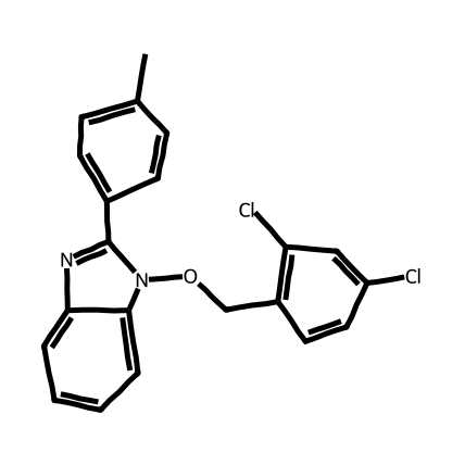 Cc1ccc(-c2nc3ccccc3n2OCc2ccc(Cl)cc2Cl)cc1